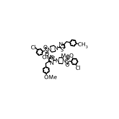 COc1ccc(Cc2csc(N3CCN(S(=O)(=O)c4cc(Cl)ccc4OC)CC3)n2)cc1.COc1ccc(Cl)cc1S(=O)(=O)N1CCN(c2nc(Cc3ccc(C)cc3)cs2)CC1